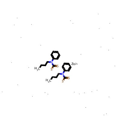 CCCCN(C(=S)[S-])c1ccccc1.CCCCN(C(=S)[S-])c1ccccc1.[Zn+2]